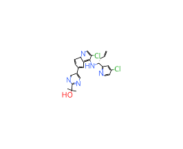 C=CC[C@@H](Nc1c(Cl)cnc2ccc(-c3cnc(C(C)(C)O)nc3)cc12)c1cc(Cl)ccn1